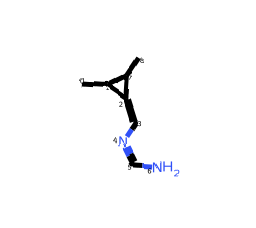 CC1C(=C/N=C\N)C1C